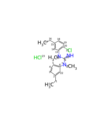 CCc1cccc(N(C)C(=N)N(C)c2cc(CC)ccc2Cl)c1.Cl